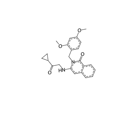 COc1ccc(Cn2c(NCC(=O)C3CC3)cc3ccccc3c2=O)c(OC)c1